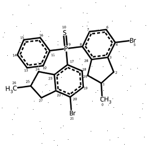 CC1Cc2c(Br)ccc(P(=S)(c3ccccc3)c3ccc(Br)c4c3CC(C)C4)c2C1